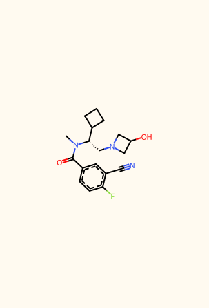 CN(C(=O)c1ccc(F)c(C#N)c1)[C@@H](CN1CC(O)C1)C1CCC1